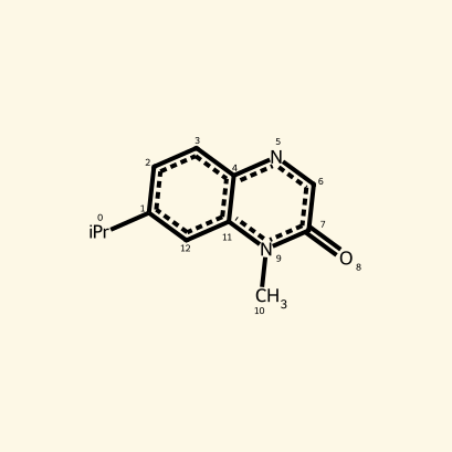 CC(C)c1ccc2ncc(=O)n(C)c2c1